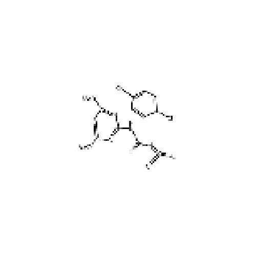 COc1cc(OC)nc(NC(=O)N=S(=O)=O)n1.Clc1ccc(Cl)cc1